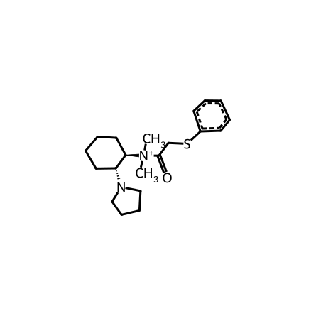 C[N+](C)(C(=O)CSc1ccccc1)[C@@H]1CCCC[C@H]1N1CCCC1